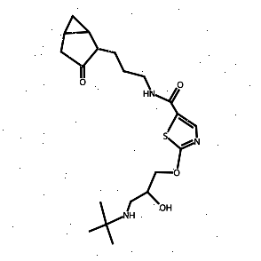 CC(C)(C)NCC(O)COc1ncc(C(=O)NCCCC2C(=O)CC3CC32)s1